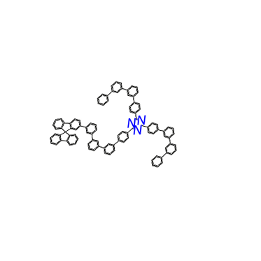 c1ccc(-c2cccc(-c3cccc(-c4ccc(-c5nc(-c6ccc(-c7cccc(-c8cccc(-c9ccccc9)c8)c7)cc6)nc(-c6ccc(-c7cccc(-c8cccc(-c9cccc(-c%10ccc%11c(c%10)C%10(c%12ccccc%12-c%12ccccc%12%10)c%10ccccc%10-%11)c9)c8)c7)cc6)n5)cc4)c3)c2)cc1